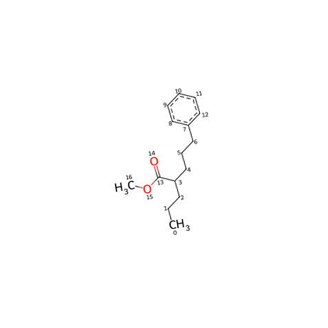 CCCC(CCCc1ccccc1)C(=O)OC